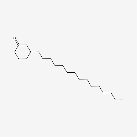 CCCCCCCCCCCCCCCC1CCCC(=O)C1